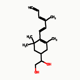 [CH]=CC=C(C)C=CC1=C(C)CC(C(O)CO)CC1(C)C